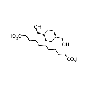 O=C(O)CCCCCCCCCC(=O)O.OCC1CCC(CO)CC1